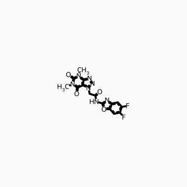 Cn1c(=O)c2c(nnn2CC(=O)Nc2nc3cc(F)c(F)cc3o2)n(C)c1=O